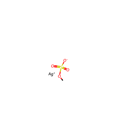 COS(=O)(=O)[O-].[Ag+]